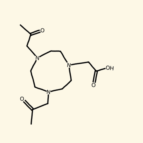 CC(=O)CN1CCN(CC(C)=O)CCN(CC(=O)O)CC1